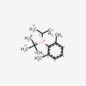 Cc1cccc(C)c1B(C(C)C)C(C)(C)C